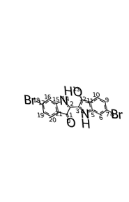 O=C1C(c2[nH]c3cc(Br)ccc3c2O)=Nc2cc(Br)ccc21